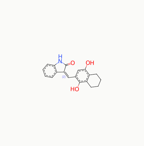 O=C1Nc2ccccc2/C1=C/c1cc(O)c2c(c1O)CCCC2